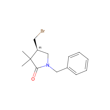 CC1(C)C(=O)N(Cc2ccccc2)C[C@@H]1CBr